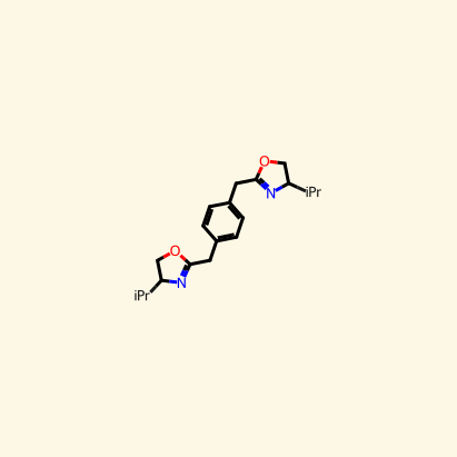 CC(C)C1COC(Cc2ccc(CC3=NC(C(C)C)CO3)cc2)=N1